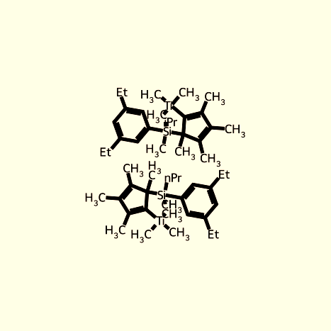 CCC[Si](C)(c1cc(CC)cc(CC)c1)C1(C)C(C)=C(C)C(C)=[C]1[Ti]([CH3])([CH3])[CH3].CCc1cc(CC)cc([Si](C)(C(C)C)C2(C)C(C)=C(C)C(C)=[C]2[Ti]([CH3])([CH3])[CH3])c1